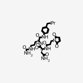 CC(C)Cc1ccc(NC(=O)[C@H](CCCNC(N)=O)NC(=O)[C@H](CC(N)=O)NC(=O)CCN2C(=O)C=CC2=O)cc1